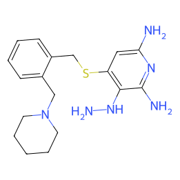 NNc1c(SCc2ccccc2CN2CCCCC2)cc(N)nc1N